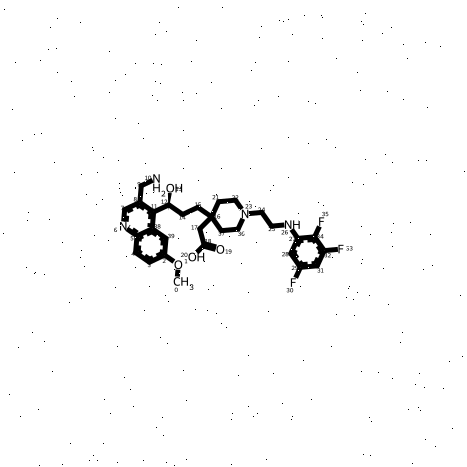 COc1ccc2ncc(CN)c([C@@H](O)CCC3(CC(=O)O)CCN(CCNc4cc(F)cc(F)c4F)CC3)c2c1